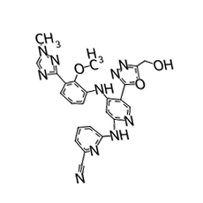 COc1c(Nc2cc(Nc3cccc(C#N)n3)ncc2-c2nnc(CO)o2)cccc1-c1ncn(C)n1